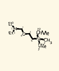 CCN(CC)COCC[Si](C)(OC)OC